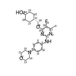 Cc1nc(Nc2ccc(N3CCOCC3)cc2)nc(OC[C@H]2CC[C@H](O)CC2)c1F